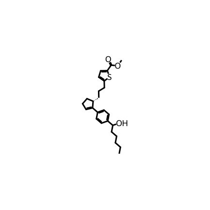 CCCCCC(O)c1ccc(C2=CCC[C@@H]2CCCc2ccc(C(=O)OC)s2)cc1